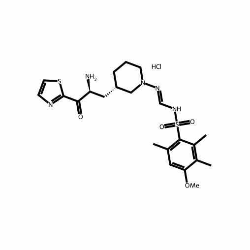 COc1cc(C)c(S(=O)(=O)NC=NN2CCC[C@@H](C[C@H](N)C(=O)c3nccs3)C2)c(C)c1C.Cl